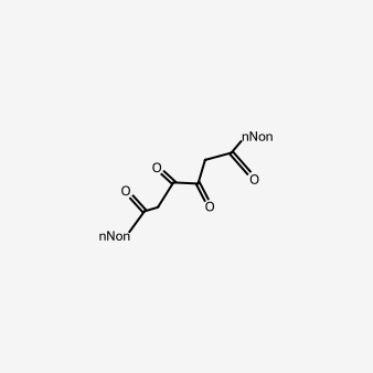 CCCCCCCCCC(=O)CC(=O)C(=O)CC(=O)CCCCCCCCC